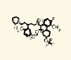 CCOC(=O)C(c1ccc(F)c(C)c1C1CCC(OC(F)(F)F)CC1)N(C)CCC(CCN1CCCCC1)c1cc(Cl)ccc1C